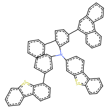 c1ccc(-c2ccc(-c3cc4ccccc4c4ccccc34)cc2N(c2cccc(-c3cccc4c3sc3ccccc34)c2)c2ccc3c(c2)sc2ccccc23)cc1